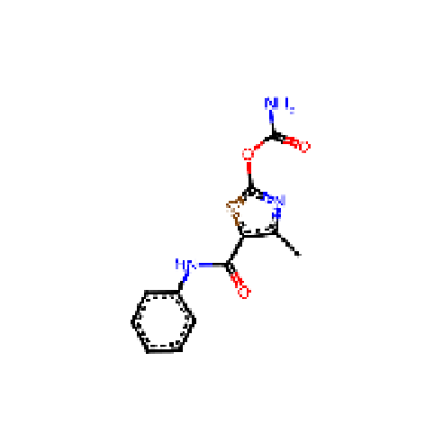 Cc1nc(OC(N)=O)sc1C(=O)Nc1ccccc1